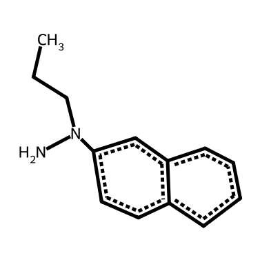 CCCN(N)c1ccc2ccccc2c1